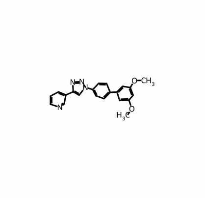 COc1cc(OC)cc(-c2ccc(-n3cc(-c4cccnc4)nn3)cc2)c1